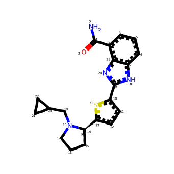 NC(=O)c1cccc2[nH]c(-c3ccc([C@H]4CCCN4CC4CC4)s3)nc12